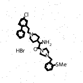 Br.CSc1ccccc1CN1CCN(C(=O)C(N)C2CCN(CCc3cc(Cl)ccc3-c3ccccc3)CC2)CC1